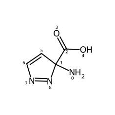 NC1(C(=O)O)C=CN=N1